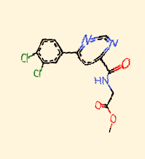 COC(=O)CNC(=O)c1cc(-c2ccc(Cl)c(Cl)c2)ncn1